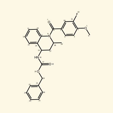 COc1ccc(C(=O)N2c3ccccc3C(NC(=O)OCc3ccccc3)CC2C)cc1F